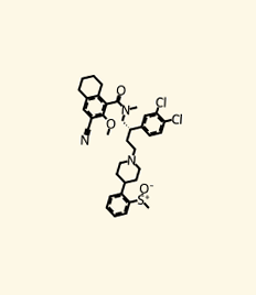 COc1c(C#N)cc2c(c1C(=O)N(C)C[C@@H](CCN1CCC(c3ccccc3[S+](C)[O-])CC1)c1ccc(Cl)c(Cl)c1)CCCC2